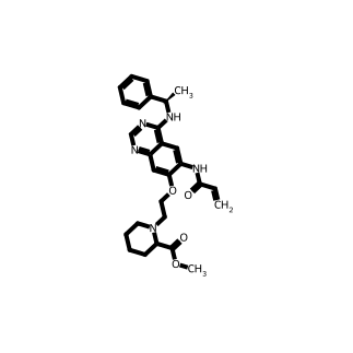 C=CC(=O)Nc1cc2c(N[C@H](C)c3ccccc3)ncnc2cc1OCCN1CCCCC1C(=O)OC